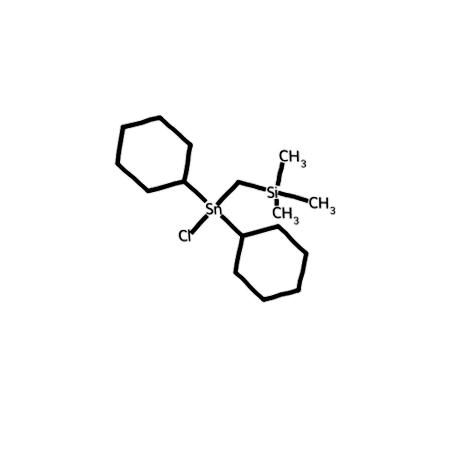 C[Si](C)(C)[CH2][Sn]([Cl])([CH]1CCCCC1)[CH]1CCCCC1